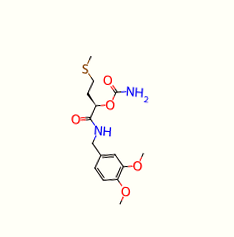 COc1ccc(CNC(=O)[C@@H](CCSC)OC(N)=O)cc1OC